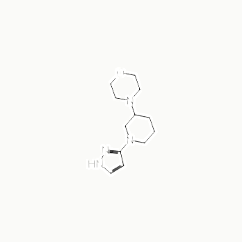 c1cc(N2CCCC(N3CCOCC3)C2)n[nH]1